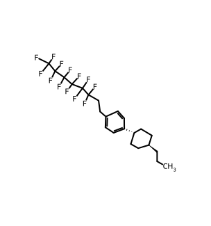 CCC[C@H]1CC[C@H](c2ccc(CCC(F)(F)C(F)(F)C(F)(F)C(F)(F)C(F)(F)C(F)(F)F)cc2)CC1